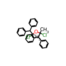 CC(Cl)(OC(C)(Cl)C(c1ccccc1)c1ccccc1)C(c1ccccc1)c1ccccc1